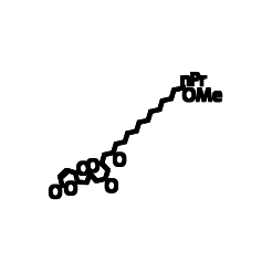 CCCC(CCCCCCCCCCCC(=O)CC1CC(=O)CC2(CC3OC(=O)C=CC3O2)O1)OC